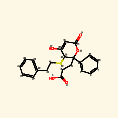 O=C(O)CCC1(c2ccccc2)OC(=O)C=C(O)[C@@H]1SCCc1ccccc1